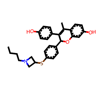 CCCCN1CC(Sc2ccc(C3Oc4cc(O)ccc4C(C)=C3c3ccc(O)cc3)cc2)C1